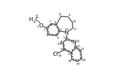 COc1ccc2c(c1)CCCCN2c1nc(Cl)c2ccccc2n1